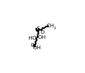 CCCCCC(=O)c1sccc1/C=C/C(O)C(O)CCCC(=O)O